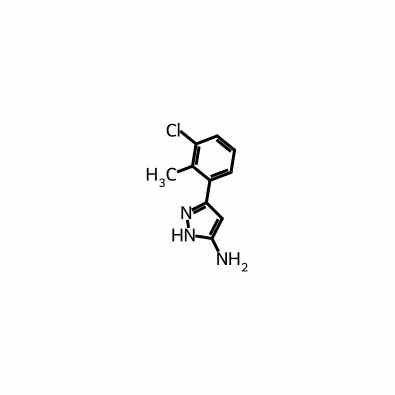 Cc1c(Cl)cccc1-c1cc(N)[nH]n1